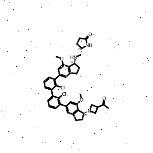 COc1cc(-c2cccc(-c3cccc(-c4cc5c(c(OC)c4)[C@H](N4CC(C(C)=O)C4)CC5)c3Cl)c2Cl)cc2c1[C@@H](NC[C@@H]1CCC(=O)N1)CC2